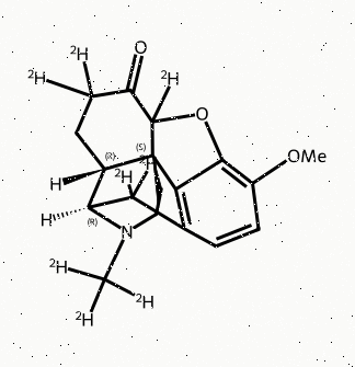 [2H]C1([2H])C[C@H]2[C@@H]3N(C([2H])([2H])[2H])CC[C@@]24c2c(ccc(OC)c2OC4([2H])C1=O)C3([2H])[2H]